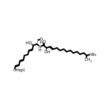 CCCCCCC/C=C/C=C/CC/C=C/[C@@H](O)[C@H](CO)NC(=O)[C@H](O)/C=C/CCCCCCCCCC(C)CCCC